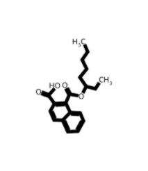 CCCCCC(CC)OC(=O)c1c(C(=O)O)ccc2ccccc12